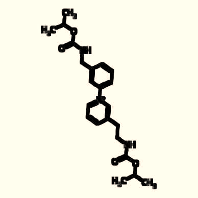 CC(C)OC(=O)NCCc1ccc[n+](-c2cccc(CNC(=O)OC(C)C)c2)c1